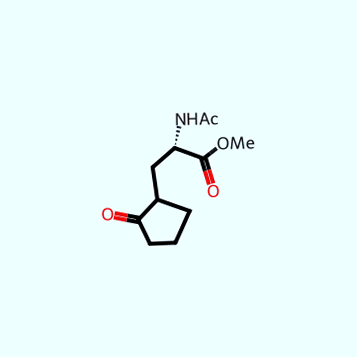 COC(=O)[C@H](CC1CCCC1=O)NC(C)=O